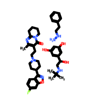 CC(C)(C)NCC(O)c1cc(O)cc(O)c1.Cc1nc2n(c(=O)c1CCN1CCC(c3noc4cc(F)ccc34)CC1)CCCC2.NNCCc1ccccc1